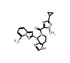 Cn1nc(C2CC2)nc1C(=O)N1CCc2[nH]cnc2[C@H]1c1cc2cccc(C(F)(F)F)n2n1